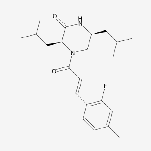 Cc1ccc(/C=C/C(=O)N2C[C@H](CC(C)C)NC(=O)[C@@H]2CC(C)C)c(F)c1